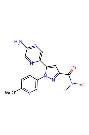 CCN(C)C(=O)c1cc(-c2cnc(N)cn2)n(-c2ccc(OC)nc2)n1